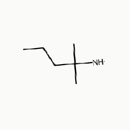 CCCC(C)(C)[NH]